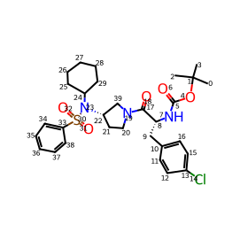 CC(C)(C)OC(=O)N[C@H](Cc1ccc(Cl)cc1)C(=O)N1CC[C@H](N(C2CCCCC2)S(=O)(=O)c2ccccc2)C1